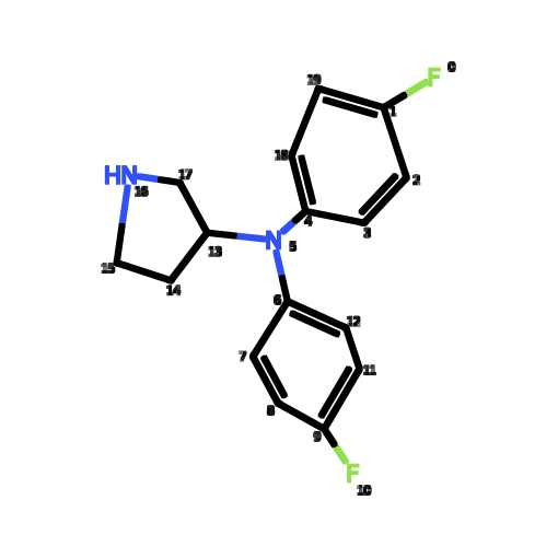 Fc1ccc(N(c2ccc(F)cc2)C2CCNC2)cc1